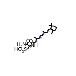 CC1=C(/C=C/C(C)=C/C=C/C(C)=C/C(=O)N[C@@H](CS(=O)(=O)O)C(N)=O)C(C)(C)CCC1